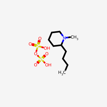 CCCCC1CCCCN1C.O=S(=O)(O)OS(=O)(=O)O